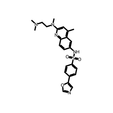 Cc1cc(N(C)CCN(C)C)nc2ccc(NS(=O)(=O)c3ccc(-c4cnco4)cc3)cc12